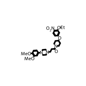 CCOc1cc(OC2CCN(C(=O)CCN3CCN(c4ccc(OC)c(OC)c4)CC3)CC2)ccc1[N+](=O)[O-]